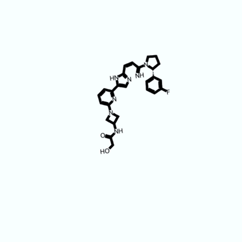 N=C(/C=C\c1ncc(-c2cccc(N3CC(NC(=O)CO)C3)n2)[nH]1)N1CCC[C@@H]1c1cccc(F)c1